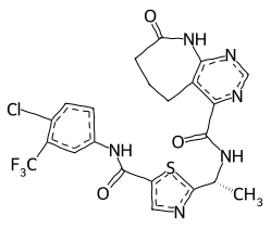 C[C@@H](NC(=O)c1ncnc2c1CCCC(=O)N2)c1ncc(C(=O)Nc2ccc(Cl)c(C(F)(F)F)c2)s1